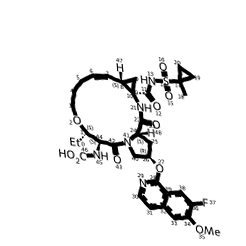 CC[C@@H]1OCCCC=C[C@@H]2C[C@@]2(C(=O)NS(=O)(=O)C2(C)CC2)NC(=O)[C@@H]2C[C@@H](Oc3nccc4cc(OC)c(F)cc34)CN2C(=O)[C@H]1NC(=O)O